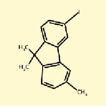 Cc1ccc2c(c1)-c1cc(I)ccc1C2(C)C